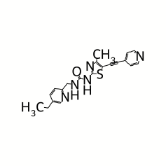 CCc1ccc(CNC(=O)Nc2nc(C)c(C#Cc3ccncc3)s2)nc1